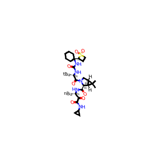 CCCC[C@H](NC(=O)[C@@H]1[C@@H]2[C@H](CN1C(=O)[C@@H](NC(=O)NC1([C@@H]3CCS3(=O)=O)CCCCC1)C(C)(C)C)C2(C)C)C(=O)C(=O)NC1CC1